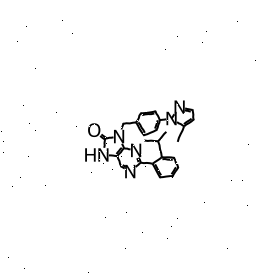 Cc1ccnn1-c1ccc(Cn2c(=O)[nH]c3cnc(-c4ccccc4C(C)C)nc32)cc1